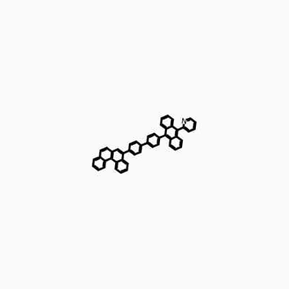 c1ccc(-c2c3ccccc3c(-c3ccc(-c4ccc(-c5cc6ccc7ccccc7c6c6ccccc56)cc4)cc3)c3ccccc23)nc1